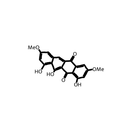 COc1cc(O)c2c(c1)C(=O)c1cc3cc(OC)cc(O)c3c(O)c1C2=O